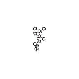 Cc1ccc2c(n1)oc1c(-c3ccc(-c4ccccc4-c4c(C)c(C)c(-c5ccccc5-c5cnc(-c6ccccc6)cc5-c5ccccc5)c(C)c4C)cn3)cccc12